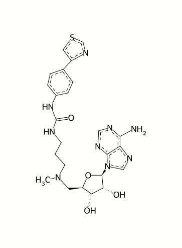 CN(CCCNC(=O)Nc1ccc(-c2cscn2)cc1)C[C@H]1O[C@@H](n2cnc3c(N)ncnc32)[C@H](O)[C@@H]1O